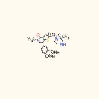 COc1ccc(-c2cn(C)c(=O)c3cc(CN4CCNCC4(C)C(=O)O)sc23)cc1OC